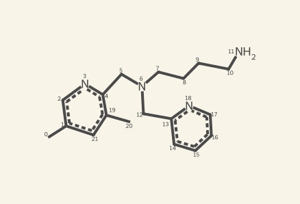 Cc1cnc(CN(CCCCN)Cc2ccccn2)c(C)c1